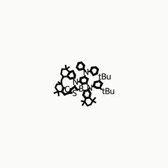 CC(C)(C)c1cc(N2c3cc4c(cc3B3c5sc6cc7c8cc6c5N(c5ccc6c(c5)C(C)(CCC6(C)C)CC8(C)CCC7(C)C)c5cc(N(c6ccccc6)c6ccccc6)cc2c53)C(C)(C)CCC4(C)C)cc(C(C)(C)C)c1